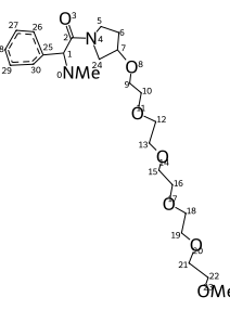 CNC(C(=O)N1CCC(OCCOCCOCCOCCOCCOC)C1)c1ccccc1